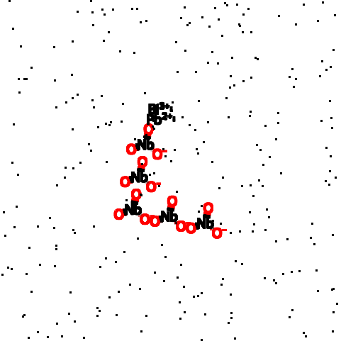 [Bi+3].[O]=[Nb](=[O])[O-].[O]=[Nb](=[O])[O-].[O]=[Nb](=[O])[O-].[O]=[Nb](=[O])[O-].[O]=[Nb](=[O])[O-].[Pb+2]